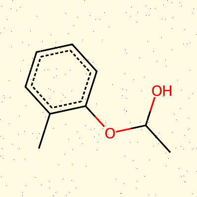 Cc1ccccc1OC(C)O